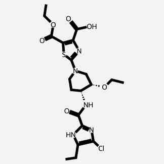 CCOC(=O)c1sc(N2CC[C@@H](NC(=O)c3nc(Cl)c(CC)[nH]3)[C@@H](OCC)C2)nc1C(=O)O